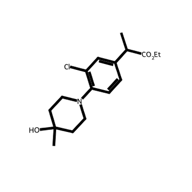 CCOC(=O)C(C)c1ccc(N2CCC(C)(O)CC2)c(Cl)c1